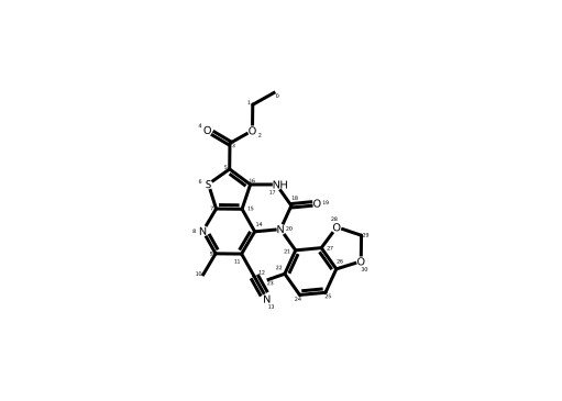 CCOC(=O)c1sc2nc(C)c(C#N)c3c2c1NC(=O)N3c1c(C)ccc2c1OCO2